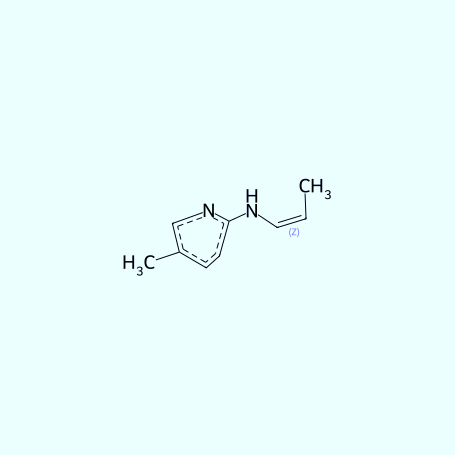 C/C=C\Nc1ccc(C)cn1